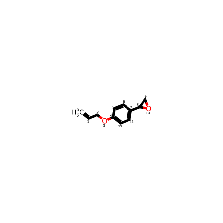 C=CCOc1ccc(C2CO2)cc1